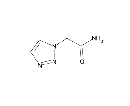 NC(=O)Cn1ccnn1